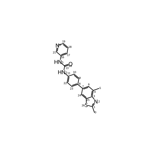 Cc1nc2c(C)cc(-c3ccc(NC(=O)Nc4cccnc4)cc3)cc2s1